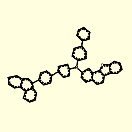 c1ccc(-c2ccc(N(c3ccc(-c4ccc(-c5cc6ccccc6c6ccccc56)cc4)cc3)c3ccc4ccc5c6ccccc6oc5c4c3)cc2)cc1